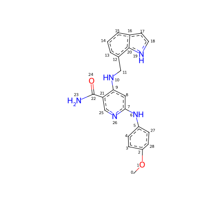 COc1ccc(Nc2cc(NCc3cccc4cc[nH]c34)c(C(N)=O)cn2)cc1